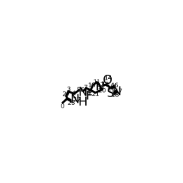 Cc1ccc(CNCC2(F)CCN(C(=O)c3cncs3)CC2)nc1